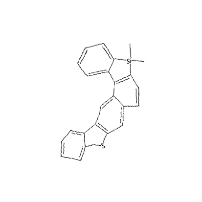 C[Si]1(C)c2ccccc2-c2c1ccc1cc3sc4ccccc4c3cc21